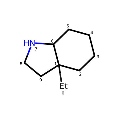 CCC12CCCCC1NCC2